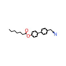 CCCCCCC(=O)Oc1ccc(-c2ccc(CC#N)cc2)cc1